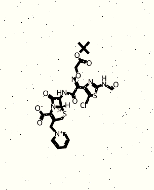 CC(C)(C)OC(=O)CON=C(C(=O)NC1C(=O)N2C(C(=O)[O-])=C(C[n+]3ccccc3)CS[C@@H]12)c1nc(NC=O)sc1Cl